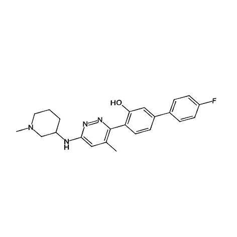 Cc1cc(NC2CCCN(C)C2)nnc1-c1ccc(-c2ccc(F)cc2)cc1O